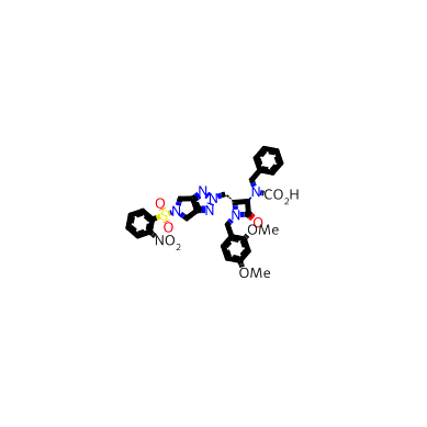 COc1ccc(CN2C(=O)[C@@H](N(Cc3ccccc3)C(=O)O)[C@H]2Cn2nc3c(n2)CN(S(=O)(=O)c2ccccc2[N+](=O)[O-])C3)c(OC)c1